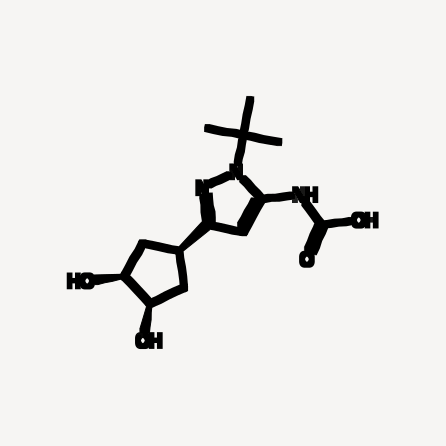 CC(C)(C)n1nc([C@H]2C[C@@H](O)[C@@H](O)C2)cc1NC(=O)O